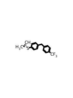 CP(C)Sc1ccc(Cc2ccc(C(F)(F)F)cc2)cc1